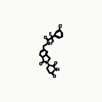 O=C1CCC(N2CC3=CC(CNC(=O)C(F)(F)c4cccc(Cl)c4)=CCC3C2=O)C(=O)N1